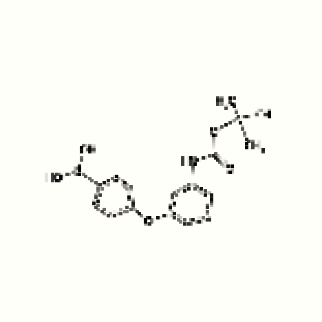 CC(C)(C)OC(=O)Nc1cccc(Oc2ccc(B(O)O)cc2)c1